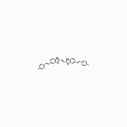 Cc1ccc(/C=C/c2ccc3nc(/C=C/c4nc5ccc(/C=C/c6ccc(C)cc6)cc5s4)sc3c2)cc1